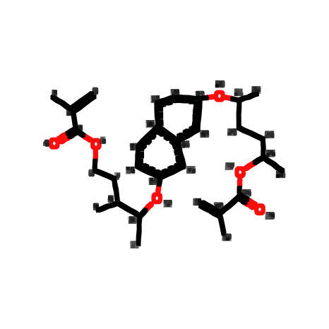 C=C(C)C(=O)OCCC(C)C(C)Oc1ccc2ccc(OC(C)CCC(C)OC(=O)C(=C)C)cc2c1